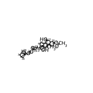 CC(=O)O[C@@H]1CC[C@@]2(C)C(C1)C[C@@H](O)C1C2C[C@H](O)[C@]2(C)C(CCCC(=O)OCOC3C4CC5CC(C4)CC3C5)CCC12